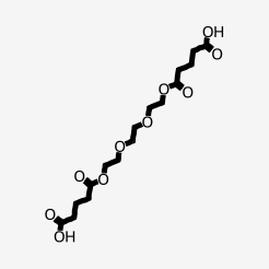 O=C(O)CCCC(=O)OCCOCCOCCOC(=O)CCCC(=O)O